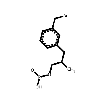 CC(COP(O)O)Cc1cccc(CBr)c1